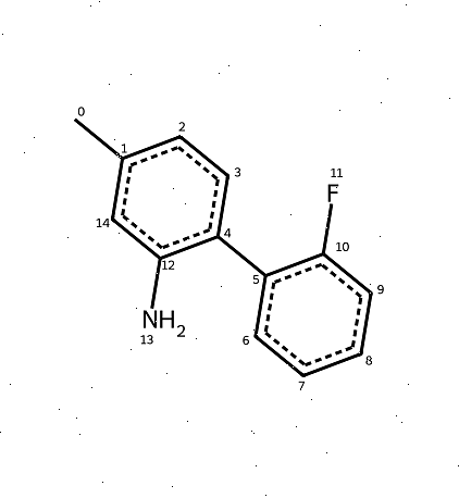 Cc1ccc(-c2ccccc2F)c(N)c1